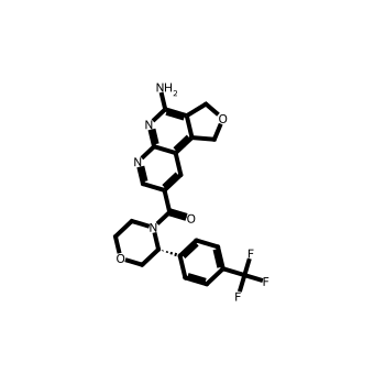 Nc1nc2ncc(C(=O)N3CCOC[C@H]3c3ccc(C(F)(F)F)cc3)cc2c2c1COC2